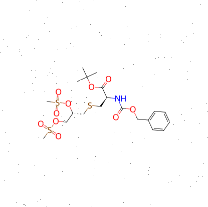 CC(C)(C)OC(=O)[C@H](CSC[C@H](COS(C)(=O)=O)OS(C)(=O)=O)NC(=O)OCc1ccccc1